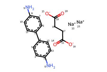 Nc1ccc(-c2ccc(N)cc2)cc1.O=C([O-])CCC(=O)[O-].[Na+].[Na+]